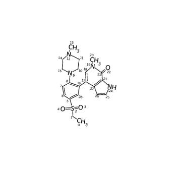 CCS(=O)(=O)c1ccc(N2CCN(C)CC2)c(-c2cn(C)c(=O)c3[nH]ccc23)c1